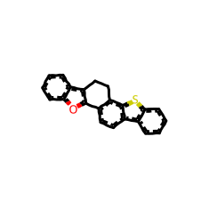 c1ccc2c3c(oc2c1)-c1ccc2c(sc4ccccc42)c1CC3